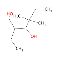 CCC(CO)C(O)C(C)(C)CC